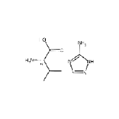 CC(C)[C@H](N)C(=O)O.Nc1ncn[nH]1